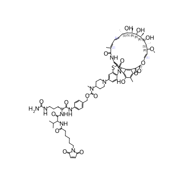 CO[C@H]1/C=C/O[C@@]2(C)Oc3c(C)c(O)c4c(=O)c(c5sc6cc(N7CCC(N(C)C(=O)OCc8ccc(NC(=O)[C@H](CCCNC(N)=O)NC(=O)C(NC(=O)CCCCCN9C(=O)C=CC9=O)C(C)C)cc8)CC7)ccc6nc-5c4c3C2=O)NC(=O)/C(C)=C\C=C\[C@H](C)[C@H](O)[C@@H](C)[C@@H](O)[C@@H](C)[C@H](O)[C@@H]1C